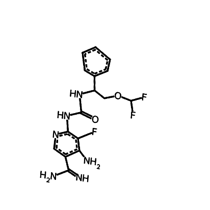 N=C(N)c1cnc(NC(=O)NC(COC(F)F)c2ccccc2)c(F)c1N